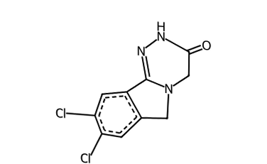 O=C1CN2Cc3cc(Cl)c(Cl)cc3C2=NN1